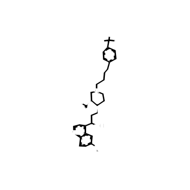 COc1ccc2nccc(C(O)CC[C@@H]3CCN(CCCCc4ccc(C(F)(F)F)cc4)C[C@@H]3C(=O)O)c2c1